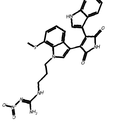 CSc1cccc2c(C3=C(c4c[nH]c5ccccc45)C(=O)NC3=O)cn(CCCNC(N)=N[N+](=O)[O-])c12